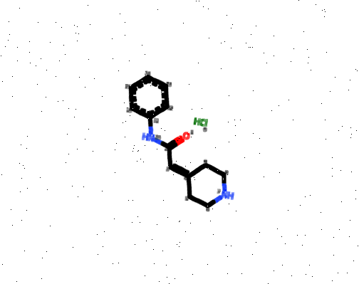 Cl.O=C(C=C1CCNCC1)Nc1ccccc1